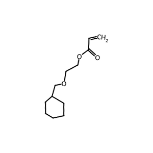 C=CC(=O)OCCOCC1CCCCC1